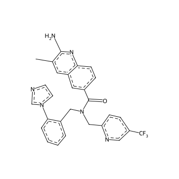 Cc1cc2cc(C(=O)N(Cc3ccc(C(F)(F)F)cn3)Cc3ccccc3-n3ccnc3)ccc2nc1N